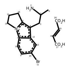 CC(N)Cc1c2n(c3ccc(Br)cc13)CCC2.O=C(O)C=CC(=O)O